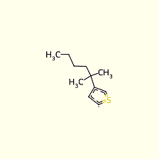 CCCCC(C)(C)c1c[c]sc1